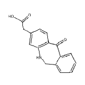 O=C(O)Cc1ccc2c(c1)NCc1ccccc1C2=O